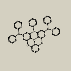 c1ccc(B2c3cc(N(c4ccccc4)c4ccccc4)cc4c3N3c5c(cccc5Oc5cc(N(c6ccccc6)c6ccccc6)cc2c53)O4)cc1